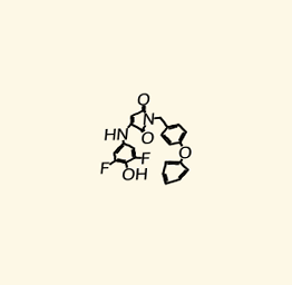 O=C1C=C(Nc2cc(F)c(O)c(F)c2)C(=O)N1Cc1ccc(Oc2ccccc2)cc1